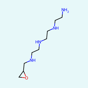 NCCNCCNCCNCC1CO1